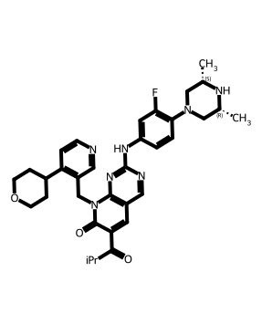 CC(C)C(=O)c1cc2cnc(Nc3ccc(N4C[C@@H](C)N[C@@H](C)C4)c(F)c3)nc2n(Cc2cnccc2C2CCOCC2)c1=O